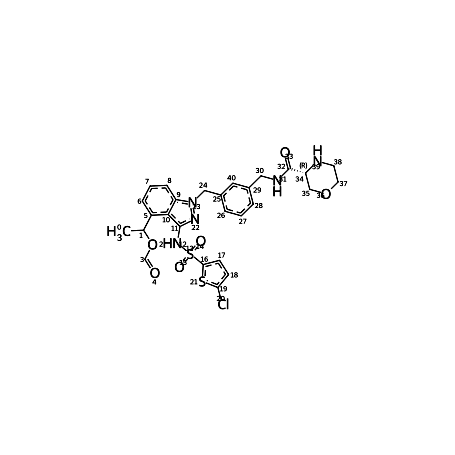 CC(OC=O)c1cccc2c1c(NS(=O)(=O)c1ccc(Cl)s1)nn2Cc1cccc(CNC(=O)[C@H]2COCCN2)c1